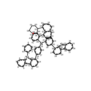 c1ccc(-n2c3ccccc3c3cccc(-c4ccc(N(c5cccc(-c6cccc7c6sc6ccccc67)c5)c5ccccc5-c5cccc6cccc(C7CCCCC7)c56)cc4)c32)cc1